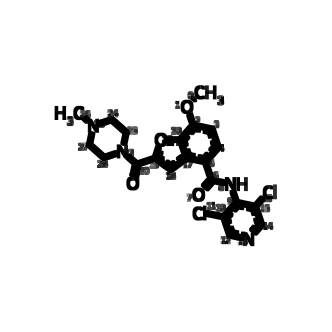 COc1ccc(C(=O)Nc2c(Cl)cncc2Cl)c2cc(C(=O)N3CCN(C)CC3)oc12